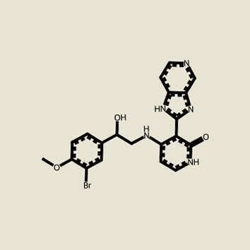 COc1ccc(C(O)CNc2cc[nH]c(=O)c2-c2nc3cnccc3[nH]2)cc1Br